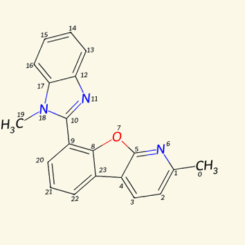 Cc1ccc2c(n1)oc1c(-c3nc4ccccc4n3C)cccc12